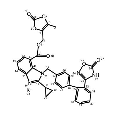 Cc1oc(=O)oc1COC(=O)c1cccc2nc(C3CC3)n(Cc3ccc(-c4ccccc4-c4noc(=O)[nH]4)cc3)c12.[K]